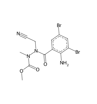 COC(=O)N(C)N(CC#N)C(=O)c1cc(Br)cc(Br)c1N